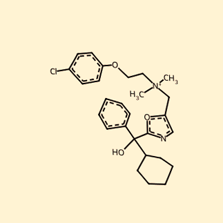 C[N+](C)(CCOc1ccc(Cl)cc1)Cc1cnc(C(O)(c2ccccc2)C2CCCCC2)o1